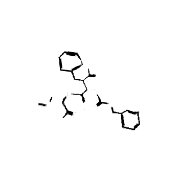 COC[C@H](NC(=O)[C@@H](NC(=O)OCc1ccccc1)C(Cc1ccccc1)C(=O)O)C(=O)O